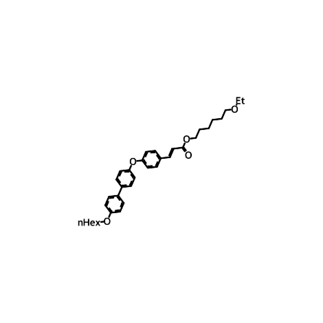 CCCCCCOc1ccc(-c2ccc(Oc3ccc(/C=C/C(=O)OCCCCCCOCC)cc3)cc2)cc1